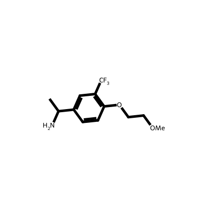 COCCOc1ccc(C(C)N)cc1C(F)(F)F